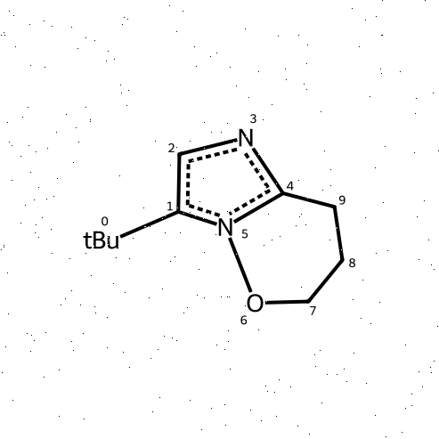 CC(C)(C)c1cnc2n1OCCC2